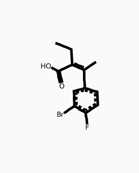 CC/C(C(=O)O)=C(\C)c1ccc(F)c(Br)c1